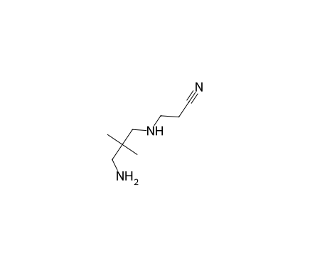 CC(C)(CN)CNCCC#N